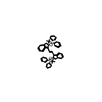 CC(C)(C)[Si](OC1=Cc2ccccc2C1CCC1C(O[Si](c2ccccc2)(c2ccccc2)C(C)(C)C)=Cc2ccccc21)(c1ccccc1)c1ccccc1